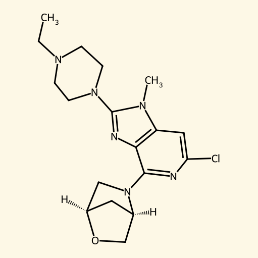 CCN1CCN(c2nc3c(N4C[C@H]5C[C@@H]4CO5)nc(Cl)cc3n2C)CC1